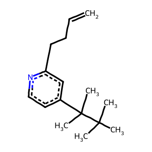 C=CCCc1cc(C(C)(C)C(C)(C)C)ccn1